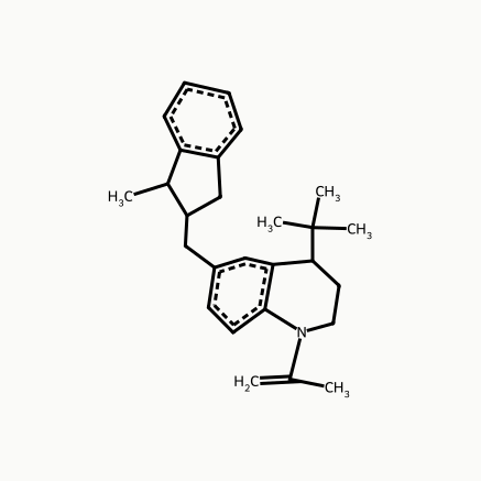 C=C(C)N1CCC(C(C)(C)C)c2cc(CC3Cc4ccccc4C3C)ccc21